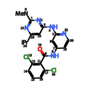 CNc1nc(Nc2cc(NC(=O)c3c(Cl)cccc3Cl)ccn2)cc(C(C)C)n1